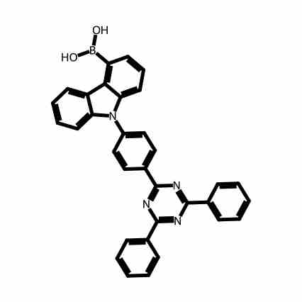 OB(O)c1cccc2c1c1ccccc1n2-c1ccc(-c2nc(-c3ccccc3)nc(-c3ccccc3)n2)cc1